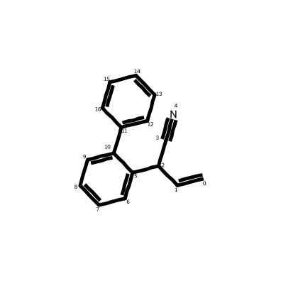 C=CC(C#N)c1ccccc1-c1ccccc1